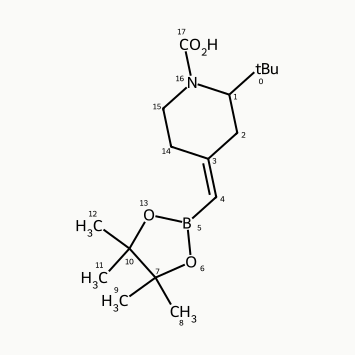 CC(C)(C)C1CC(=CB2OC(C)(C)C(C)(C)O2)CCN1C(=O)O